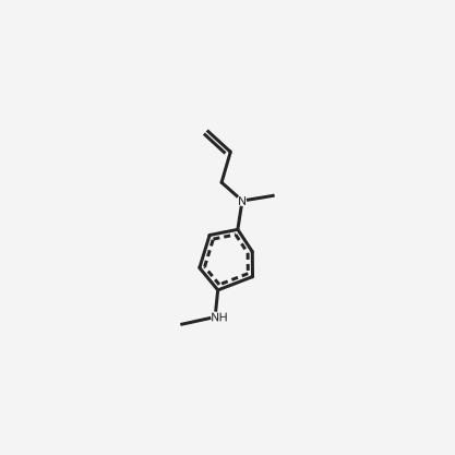 C=CCN(C)c1ccc(NC)cc1